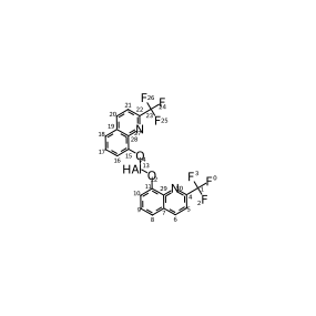 FC(F)(F)c1ccc2cccc([O][AlH][O]c3cccc4ccc(C(F)(F)F)nc34)c2n1